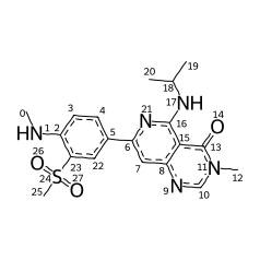 CNc1ccc(-c2cc3ncn(C)c(=O)c3c(NC(C)C)n2)cc1S(C)(=O)=O